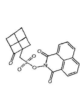 O=C1c2cccc3cccc(c23)C(=O)N1OS(=O)(=O)CC12CC3CC4CC(C1=O)C432